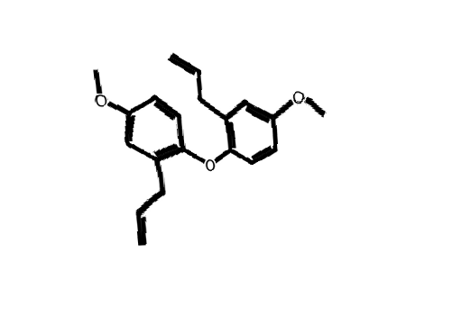 C=CCc1cc(OC)ccc1Oc1ccc(OC)cc1CC=C